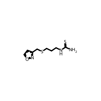 NC(=S)NCCCSCc1ccon1